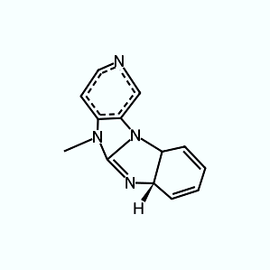 CN1C2=N[C@H]3C=CC=CC3N2c2cnccc21